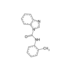 Cc1ccccc1NC(=O)n1cnc2ccccc21